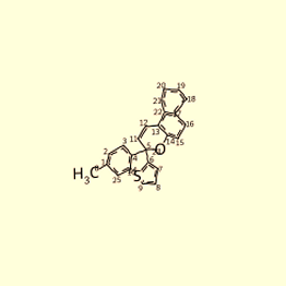 Cc1ccc(C2(c3cccs3)C=Cc3c(ccc4ccccc34)O2)cc1